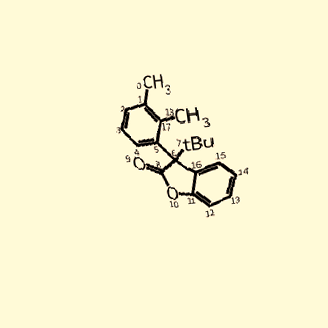 Cc1cccc(C2(C(C)(C)C)C(=O)Oc3ccccc32)c1C